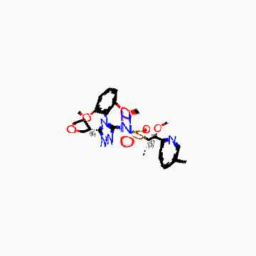 COc1cccc(OC)c1-n1c(NS(=O)(=O)[C@@H](C)[C@H](OC)c2ccc(C)cn2)nnc1[C@H]1CCOC1